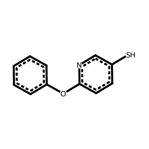 Sc1ccc(Oc2ccccc2)nc1